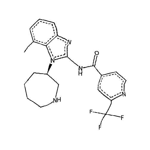 Cc1cccc2nc(NC(=O)c3ccnc(C(F)(F)F)c3)n([C@@H]3CCCCNC3)c12